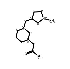 NC(=O)C[C@H]1CCCN(CC2CCN(N)C2)C1